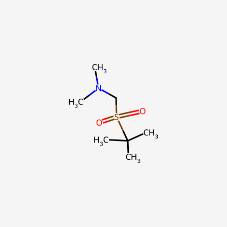 CN(C)CS(=O)(=O)C(C)(C)C